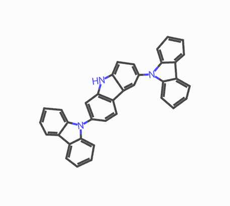 c1ccc2c(c1)c1ccccc1n2-c1ccc2c(c1)[nH]c1ccc(-n3c4ccccc4c4ccccc43)cc12